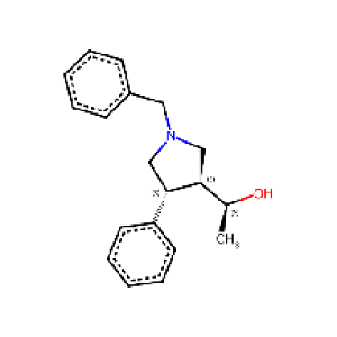 C[C@H](O)[C@@H]1CN(Cc2ccccc2)C[C@H]1c1ccccc1